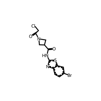 O=C(Nc1nc2ccc(Br)cc2s1)C1CN(C(=O)CCl)C1